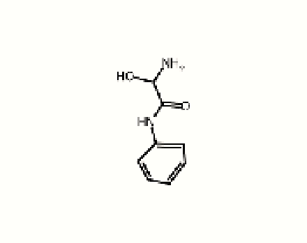 NC(O)C(=O)Nc1ccccc1